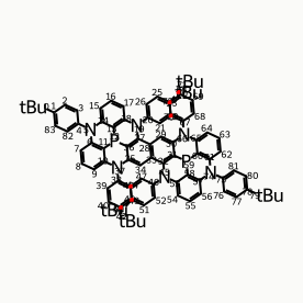 CC(C)(C)c1ccc(-n2c3cccc4c3p3c5c2cccc5n(-c2ccc(C(C)(C)C)cc2)c2c5cc6c7c(c5cc(c23)n4-c2ccc(C(C)(C)C)cc2)n(-c2ccc(C(C)(C)C)cc2)c2cccc3c2p7c2c(cccc2n6-c2ccc(C(C)(C)C)cc2)n3-c2ccc(C(C)(C)C)cc2)cc1